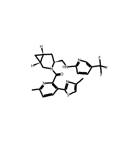 Cc1csc(-c2ccc(C)nc2C(=O)N2C[C@@H]3C[C@@H]3C[C@H]2CNc2ccc(C(F)(F)F)cn2)n1